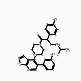 CC(C)NCC(C(=O)N1CCN(c2c(-c3cccc(F)c3)cnc3[nH]ncc23)CC1)c1ccc(Cl)cc1